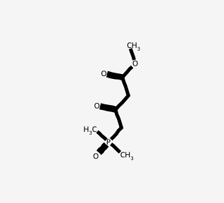 COC(=O)CC(=O)CP(C)(C)=O